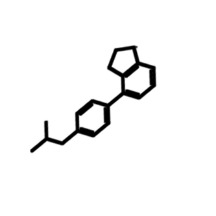 CC(C)Cc1ccc(-c2cccc3c2CC[CH]3)cc1